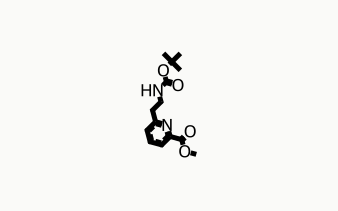 COC(=O)c1cccc(CCNC(=O)OC(C)(C)C)n1